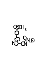 C[S@+]([O-])c1ccc(-c2cc3nccc(-c4ccnc(C(=O)N5CCOCC5)c4)c3o2)cc1